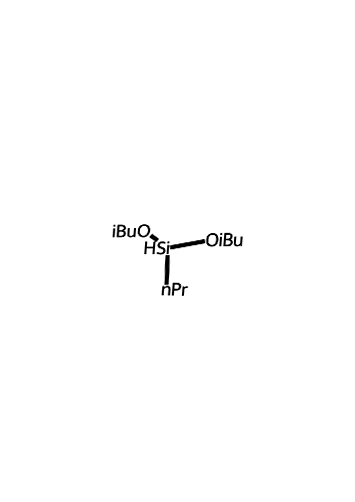 CCC[SiH](OCC(C)C)OCC(C)C